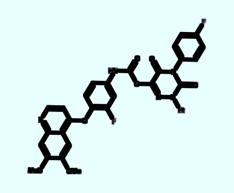 CCn1nc(OC(=O)Nc2ccc(Oc3ccnc4cc(OC)c(OC)cc34)c(F)c2)c(=O)n(-c2ccc(F)cc2)c1=O